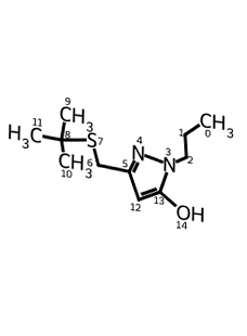 CCCn1nc(CSC(C)(C)C)cc1O